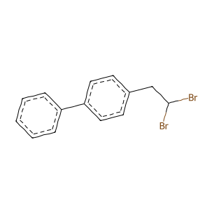 BrC(Br)Cc1ccc(-c2ccccc2)cc1